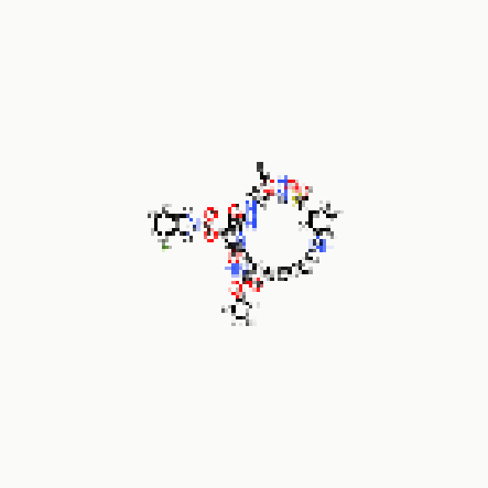 C=C[C@@H]1C[C@@]12NC(=O)[C@@H]1C[C@@H](OC(=O)N3Cc4cccc(F)c4C3)CN1C(=O)[C@@H](NC(=O)OC1CCCC1)CCCCCCNc1cccc(c1)CS(=O)(=O)NC2=O